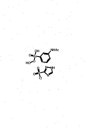 CC(=O)Nc1cccc([As](=O)(O)OO)c1.O=S(=O)(Cl)c1nc[nH]n1